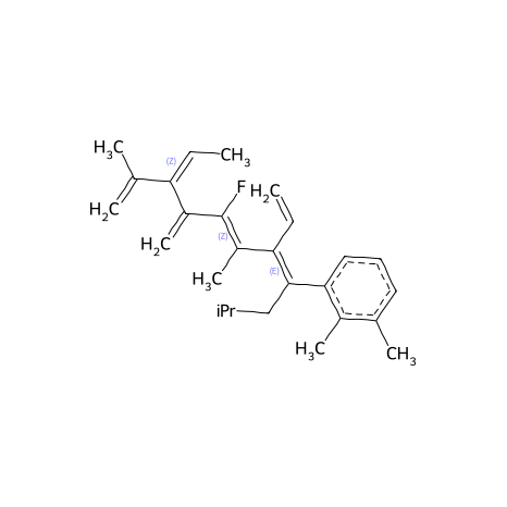 C=CC(/C(C)=C(\F)C(=C)/C(=C\C)C(=C)C)=C(/CC(C)C)c1cccc(C)c1C